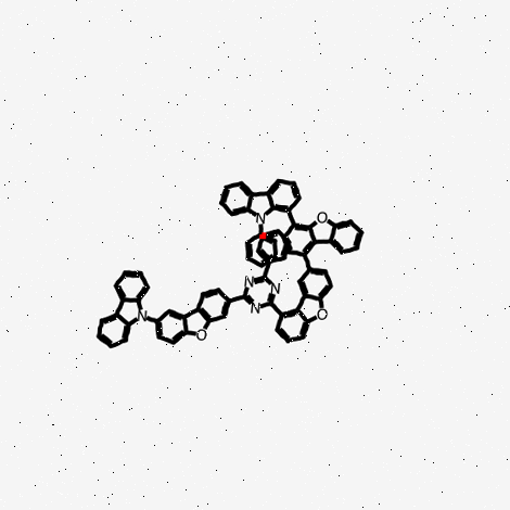 c1ccc(-c2nc(-c3ccc4c(c3)oc3ccc(-n5c6ccccc6c6ccccc65)cc34)nc(-c3cccc4oc5ccc(-c6ccc(-c7cccc8c9ccccc9n(-c9ccccc9)c78)c7oc8ccccc8c67)cc5c34)n2)cc1